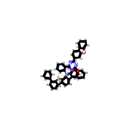 c1ccc(-c2nc(-c3ccc4c(c3)oc3ccccc34)nc(-c3ccccc3-n3c4ccccc4c4ccc5c6cccc(-c7ccccc7)c6sc5c43)n2)cc1